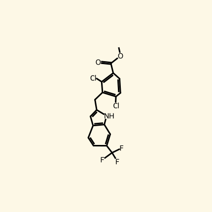 COC(=O)c1ccc(Cl)c(Cc2cc3ccc(C(F)(F)F)cc3[nH]2)c1Cl